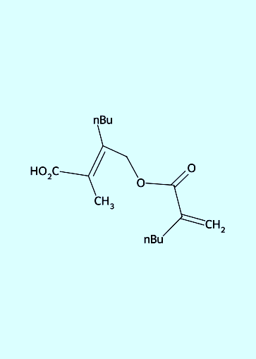 C=C(CCCC)C(=O)OCC(CCCC)=C(C)C(=O)O